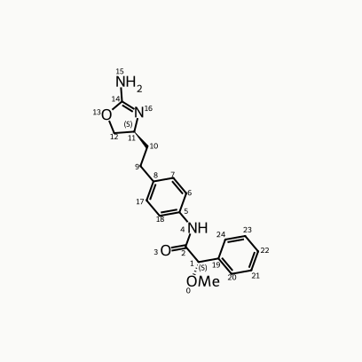 CO[C@H](C(=O)Nc1ccc(CC[C@H]2COC(N)=N2)cc1)c1ccccc1